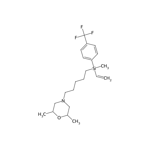 C=C[Si](C)(CCCCCN1CC(C)OC(C)C1)c1ccc(C(F)(F)F)cc1